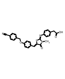 CN1C(=O)/C(=C/c2ccc(OCc3ccc(C#N)cc3)cc2)S/C1=N/c1ccc(CC(=O)O)cc1